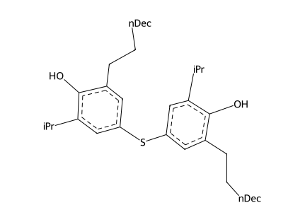 CCCCCCCCCCCCc1cc(Sc2cc(CCCCCCCCCCCC)c(O)c(C(C)C)c2)cc(C(C)C)c1O